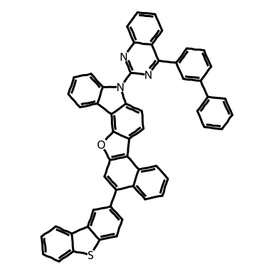 c1ccc(-c2cccc(-c3nc(-n4c5ccccc5c5c6oc7cc(-c8ccc9sc%10ccccc%10c9c8)c8ccccc8c7c6ccc54)nc4ccccc34)c2)cc1